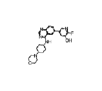 Oc1cc(-c2ccc3ncnc(N[C@H]4CC[C@H](N5CCOCC5)CC4)c3c2)cnc1F